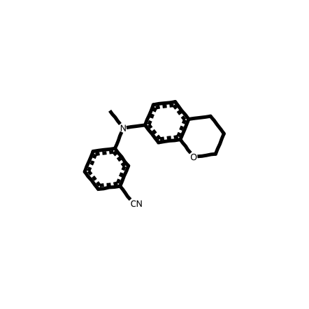 CN(c1cccc(C#N)c1)c1ccc2c(c1)OCCC2